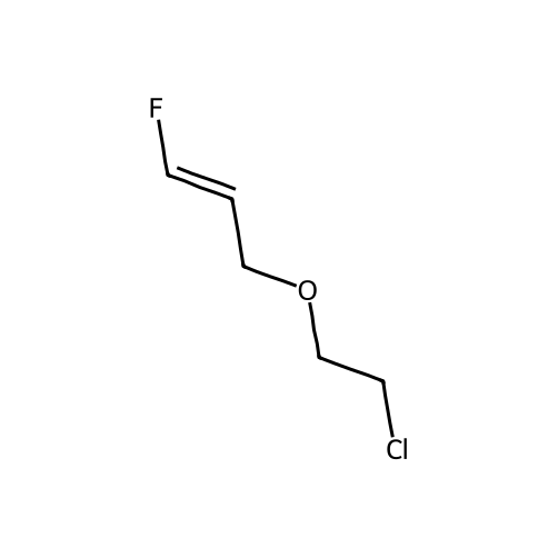 FC=CCOCCCl